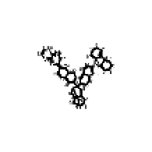 c1ccc2c(c1)c1ccccc1n2-c1ccc2cc(C3(c4ccc5cc(-c6cnc7nccnc7n6)ccc5c4)CC4CCC5CC4CC3C5)ccc2c1